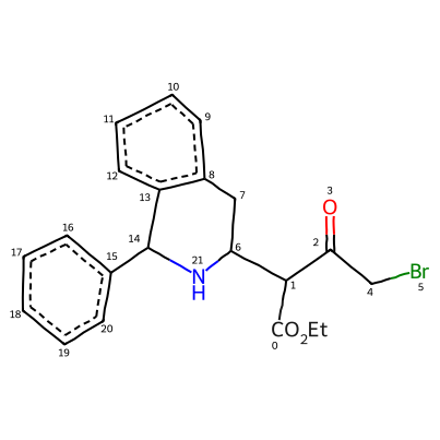 CCOC(=O)C(C(=O)CBr)C1Cc2ccccc2C(c2ccccc2)N1